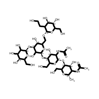 CC(=O)NC1[C@H](O[C@@H]2C(CO)O[C@@H](C)C(NC(C)=O)[C@H]2O)OC(CO)[C@@H](O[C@@H]2OC(CO[C@H]3OC(CO)[C@@H](O)[C@H](O)C3CCO)[C@@H](O)[C@H](O[C@H]3OC(CO)[C@@H](O)C(O)C3O)C2O)[C@@H]1O